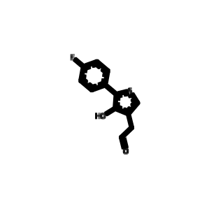 O=CCc1csc(-c2ccc(F)cc2)c1O